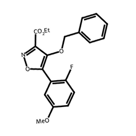 CCOC(=O)c1noc(-c2cc(OC)ccc2F)c1OCc1ccccc1